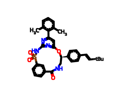 Cc1cccc(C)c1-c1cc2nc(n1)NS(=O)(=O)c1cccc(c1)C(=O)NC[C@@H](c1ccc(/C=C/C(C)(C)C)cc1)O2